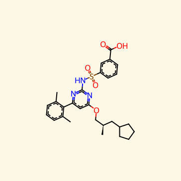 Cc1cccc(C)c1-c1cc(OC[C@H](C)CC2CCCC2)nc(NS(=O)(=O)c2cccc(C(=O)O)c2)n1